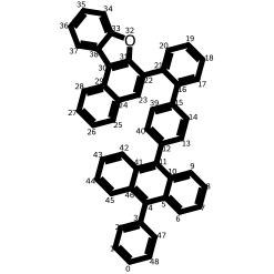 c1ccc(-c2c3ccccc3c(-c3ccc(-c4ccccc4-c4cc5ccccc5c5c4oc4ccccc45)cc3)c3ccccc23)cc1